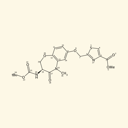 COC(=O)c1csc(COc2ccc3c(c2)N(C)C(=O)[C@@H](NC(=O)OC(C)(C)C)CO3)n1